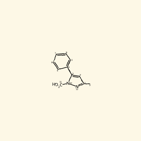 Cc1cc(-c2ccccc2)n(C(=O)O)n1